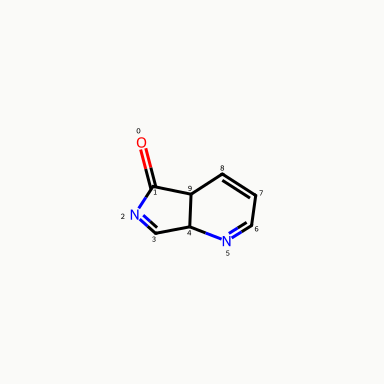 O=C1N=CC2N=CC=CC12